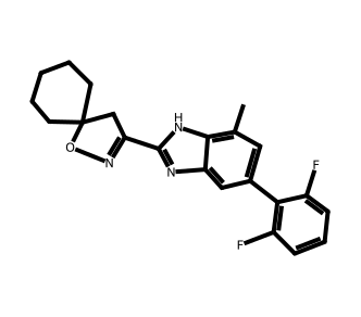 Cc1cc(-c2c(F)cccc2F)cc2nc(C3=NOC4(CCCCC4)C3)[nH]c12